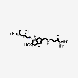 CCCC[C@H](C)C[C@H](O)/C=C/[C@@H]1[C@H]2CC(CNCCC(=O)N(C(C)C)C(C)C)=C[C@H]2C[C@H]1O